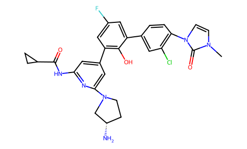 Cn1ccn(-c2ccc(-c3cc(F)cc(-c4cc(NC(=O)C5CC5)nc(N5CC[C@H](N)C5)c4)c3O)cc2Cl)c1=O